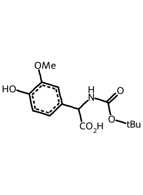 COc1cc(C(NC(=O)OC(C)(C)C)C(=O)O)ccc1O